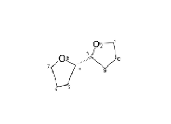 C1COC([C@@H]2CCCO2)C1